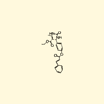 CCOC(=O)C1=C(C)NC(=O)NC1c1ccc(OC(=O)C=Cc2ccccc2)cc1